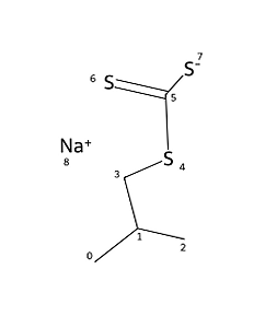 CC(C)CSC(=S)[S-].[Na+]